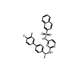 Cc1cc(-c2ccc([C@H](C)Nc3nccc(NS(=O)(=O)c4ccc5ccccc5c4)n3)cc2)ccc1F